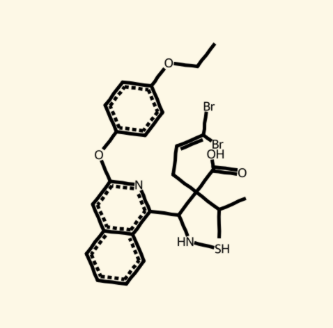 CCOc1ccc(Oc2cc3ccccc3c(C(NS)C(CC=C(Br)Br)(C(=O)O)C(C)C)n2)cc1